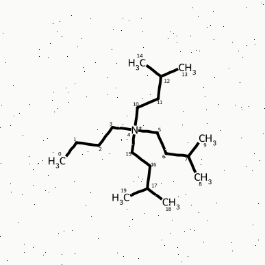 CCCC[N+](CCC(C)C)(CCC(C)C)CCC(C)C